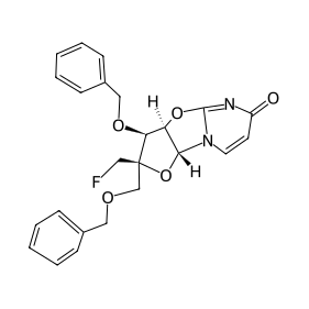 O=c1ccn2c(n1)O[C@H]1[C@H]2O[C@](CF)(COCc2ccccc2)[C@H]1OCc1ccccc1